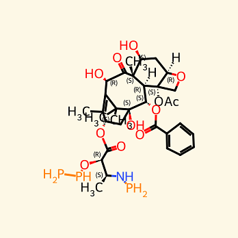 CC(=O)O[C@@]12CO[C@@H]1C[C@H](O)[C@@]1(C)C(=O)[C@H](O)C3=C(C)[C@@H](OC(=O)[C@H](OPP)[C@H](C)NP)C[C@@](O)([C@@H](OC(=O)c4ccccc4)[C@H]21)C3(C)C